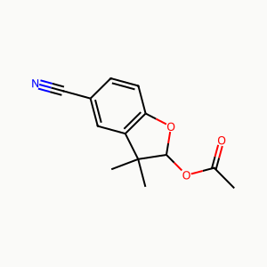 CC(=O)OC1Oc2ccc(C#N)cc2C1(C)C